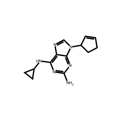 Nc1nc(NC2CC2)c2ncn(C3C=CCC3)c2n1